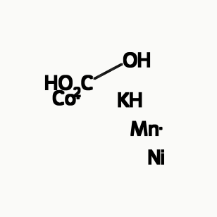 O=C(O)O.[Co].[KH].[Mn].[Ni]